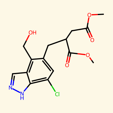 COC(=O)CC(Cc1cc(Cl)c2[nH]ncc2c1CO)C(=O)OC